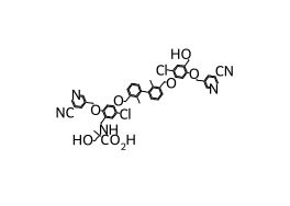 Cc1c(COc2cc(OCc3cncc(C#N)c3)c(CO)cc2Cl)cccc1-c1cccc(COc2cc(OCc3cncc(C#N)c3)c(CNC(C)(CO)C(=O)O)cc2Cl)c1C